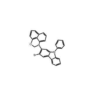 Brc1cc2c3ccccc3n(-c3ccccc3)c2cc1N1COc2cccc3cccc1c23